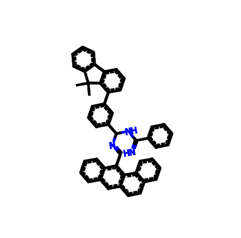 CC1(C)c2ccccc2-c2cccc(-c3cccc(C(/N=C/c4c5ccccc5cc5ccc6ccccc6c45)NC(=N)c4ccccc4)c3)c21